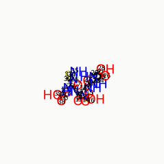 CC(C)(O/N=C(\C(=O)N[C@@H]1C(=O)N(S(=O)(=O)O)[C@@H]1CNC(=O)Nc1cc(=O)c(O)c[nH]1)c1csc(N)n1)C(=O)O